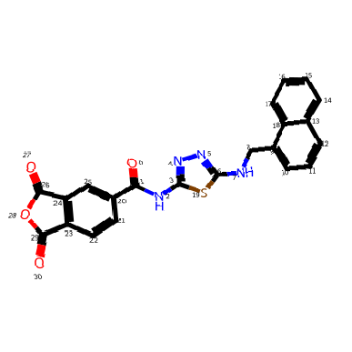 O=C(Nc1nnc(NCc2cccc3ccccc23)s1)c1ccc2c(c1)C(=O)OC2=O